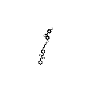 O=C(CN1CCN(CCCCCOc2ccc3c(-c4ccc(Cl)cc4)coc3c2)CC1)NCC1CCCCC1